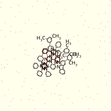 Cc1cc(C)cc(-c2ccc3c(c2)c2cc(-c4cc(C)cc(C)c4)ccc2n3-c2ccc(-c3nc(-c4ccccc4)nc(-c4ccccc4)n3)cc2-c2ncccc2-c2nc(-c3ccccc3)nc(-c3cccc(-c4cccc(-c5nc(-c6ccccc6)nc(-c6ccc(-n7c8ccccc8c8cc(-c9c(C)cc(C)cc9C)ccc87)c(-c7ncccc7-c7nc(-c8ccccc8)nc(-c8ccccc8)n7)c6)n5)c4)c3)n2)c1